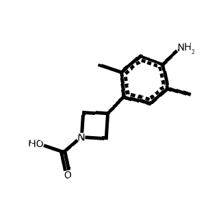 Cc1cc(C2CN(C(=O)O)C2)c(C)cc1N